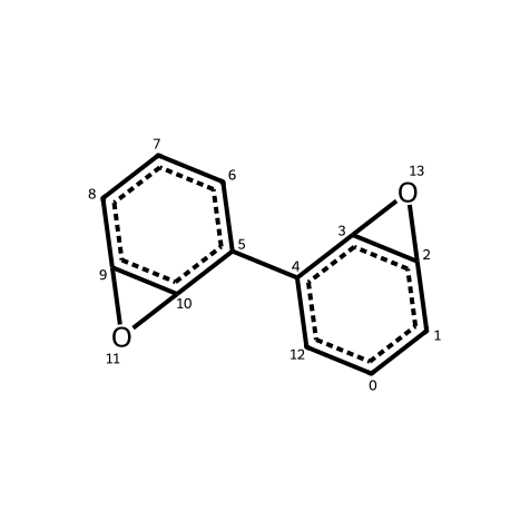 c1cc2c(c(-c3cccc4c3O4)c1)O2